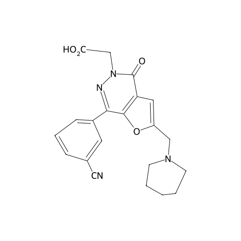 N#Cc1cccc(-c2nn(CC(=O)O)c(=O)c3cc(CN4CCCCC4)oc23)c1